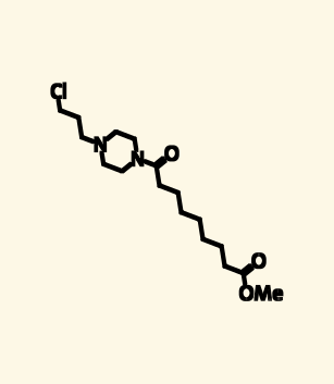 COC(=O)CCCCCCCC(=O)N1CCN(CCCCl)CC1